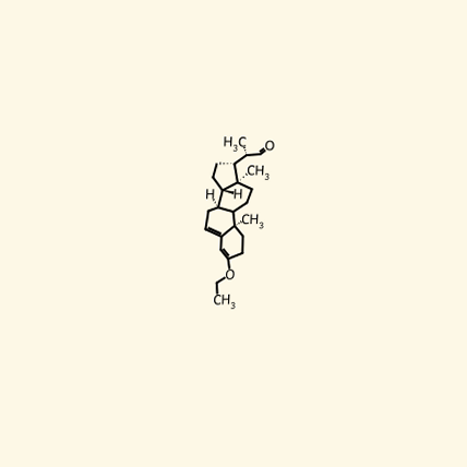 CCOC1=CC2=CC[C@@H]3C(CC[C@]4(C)[C@@H]([C@H](C)C=O)CC[C@@H]34)[C@@]2(C)CC1